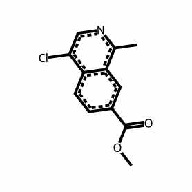 COC(=O)c1ccc2c(Cl)cnc(C)c2c1